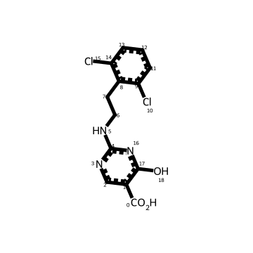 O=C(O)c1cnc(NCCc2c(Cl)cccc2Cl)nc1O